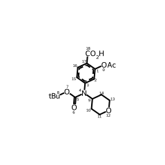 CC(=O)Oc1cc(N(C(=O)OC(C)(C)C)C2CCOCC2)ccc1C(=O)O